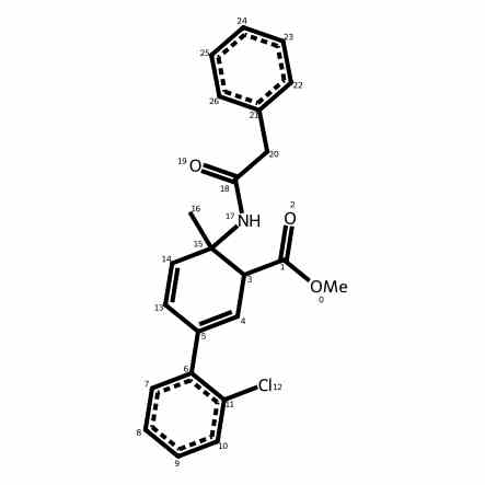 COC(=O)C1C=C(c2ccccc2Cl)C=CC1(C)NC(=O)Cc1ccccc1